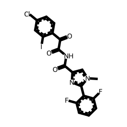 Cn1cc(C(=O)NC(=O)C(=O)c2ccc(Cl)cc2I)nc1-c1c(F)cccc1F